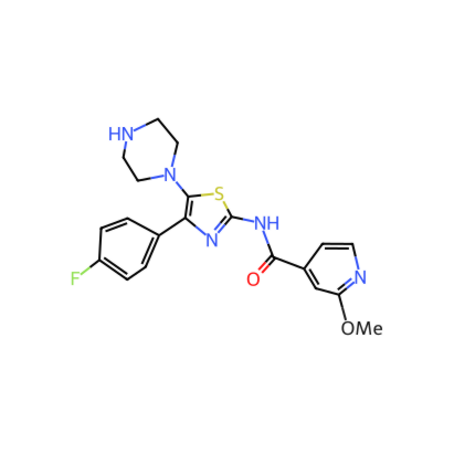 COc1cc(C(=O)Nc2nc(-c3ccc(F)cc3)c(N3CCNCC3)s2)ccn1